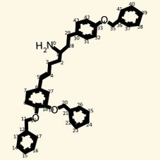 NC(CC/C=C/c1ccc(OCc2ccccc2)c(OCc2ccccc2)c1)CCc1ccc(OCc2ccccc2)cc1